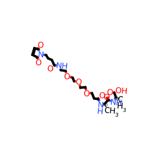 C[C@H](NC(=O)[C@H](C)NC(=O)CCOCCOCCOCCNC(=O)CCCN1C(=O)C=CC1=O)C(=O)O